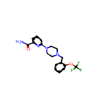 NC(=O)c1[c]ccc(N2CCN(Cc3ccccc3OC(F)(F)F)CC2)n1